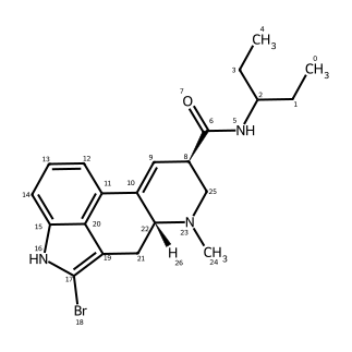 CCC(CC)NC(=O)[C@@H]1C=C2c3cccc4[nH]c(Br)c(c34)C[C@H]2N(C)C1